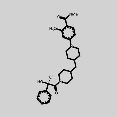 CNC(=O)c1ccc(N2CCC(CC3CCN(C(=O)[C@](O)(c4ccccc4)C(F)(F)F)CC3)CC2)cc1C